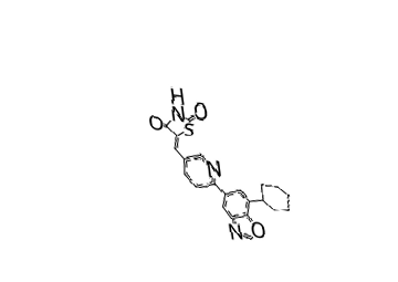 O=C1NC(=O)C(=Cc2ccc(-c3cc(C4CCCCC4)c4ocnc4c3)nc2)S1